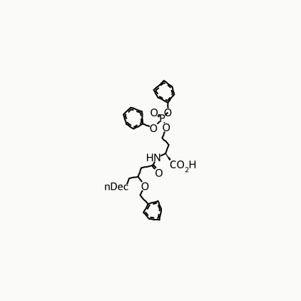 CCCCCCCCCCCC(CC(=O)N[C@@H](CCOP(=O)(Oc1ccccc1)Oc1ccccc1)C(=O)O)OCc1ccccc1